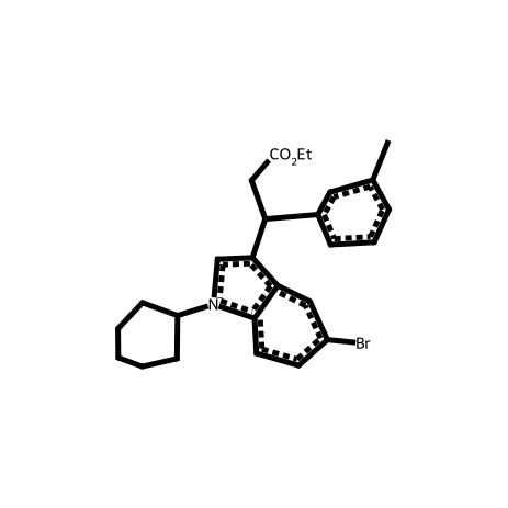 CCOC(=O)CC(c1cccc(C)c1)c1cn(C2CCCCC2)c2ccc(Br)cc12